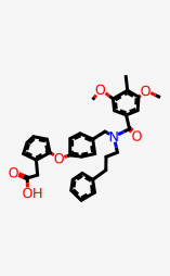 COc1cc(C(=O)N(CCCc2ccccc2)Cc2ccc(Oc3ccccc3CC(=O)O)cc2)cc(OC)c1C